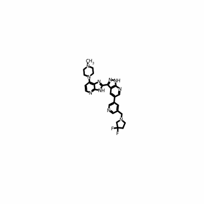 CN1CCN(c2ccnc3[nH]c(-c4n[nH]c5ncc(-c6cncc(CN7CCC(F)(F)C7)c6)cc45)nc23)CC1